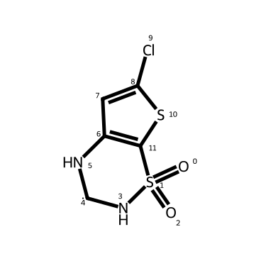 O=S1(=O)N[CH]Nc2cc(Cl)sc21